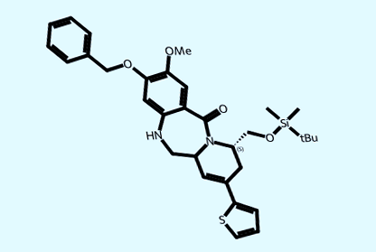 COc1cc2c(cc1OCc1ccccc1)NCC1C=C(c3cccs3)C[C@@H](CO[Si](C)(C)C(C)(C)C)N1C2=O